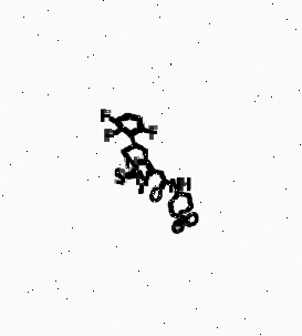 Cn1c(CC(=O)NC2CCS(=O)(=O)CC2)c2n(c1=S)C[C@@H](c1c(F)ccc(F)c1F)C2